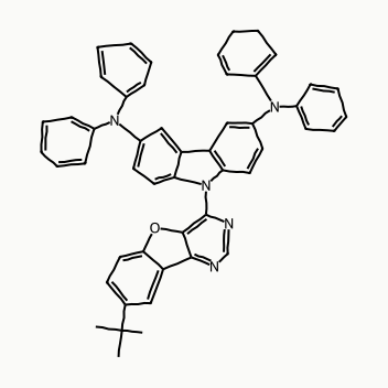 CC(C)(C)c1ccc2oc3c(-n4c5ccc(N(C6=CCCC=C6)c6ccccc6)cc5c5cc(N(c6ccccc6)c6ccccc6)ccc54)ncnc3c2c1